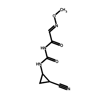 CON=CC(=O)NC(=O)NC1CC1C#N